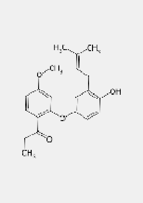 CCC(=O)c1ccc(OC)cc1Oc1ccc(O)c(CC=C(C)C)c1